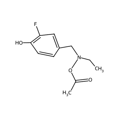 CCN(Cc1ccc(O)c(F)c1)OC(C)=O